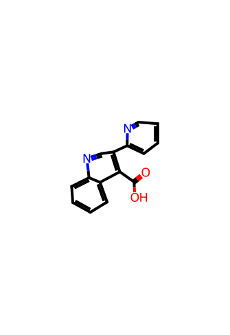 O=C(O)c1c(-c2ccccn2)cnc2ccccc12